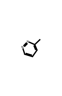 Cc1cc[c]nn1